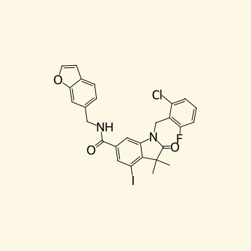 CC1(C)C(=O)N(Cc2c(F)cccc2Cl)c2cc(C(=O)NCc3ccc4ccoc4c3)cc(I)c21